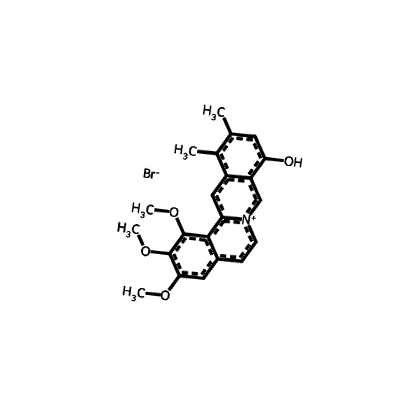 COc1cc2cc[n+]3cc4c(O)cc(C)c(C)c4cc3c2c(OC)c1OC.[Br-]